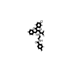 Cc1ccc(C(=O)NCCNC(c2oc3cc(Cl)ccc3c(=O)c2Cc2ccccc2)C(C)C)cc1